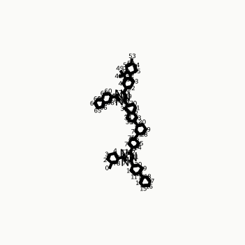 Cc1cccc(-c2nc(-c3ccc(-c4ccccc4)cc3)nc(-c3ccc(-c4cccc(-c5ccc6cc(-c7nc(-c8ccc9c(c8)C(C)(C)c8cc(C)ccc8-9)nc(-c8ccc9ccccc9c8)n7)ccc6c5)c4)cc3)n2)c1